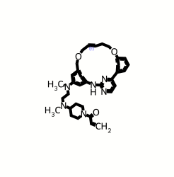 C=CC(=O)N1CCC(N(C)CCN(C)c2cc3cc(c2)Nc2nccc(n2)-c2cccc(c2)OCC/C=C/COC3)CC1